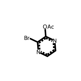 CC(=O)Oc1nccnc1Br